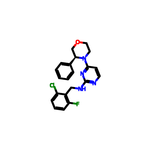 Fc1cccc(Cl)c1CNc1nccc(N2CCOC[C@@H]2c2ccccc2)n1